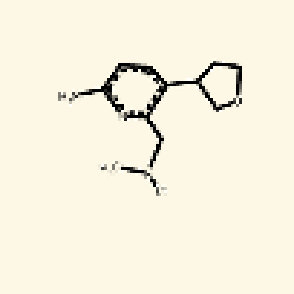 CCN(C)Cc1nc(N)ccc1C1CCOC1